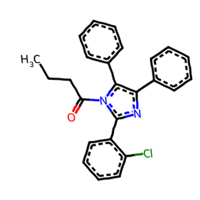 CCCC(=O)n1c(-c2ccccc2Cl)nc(-c2ccccc2)c1-c1ccccc1